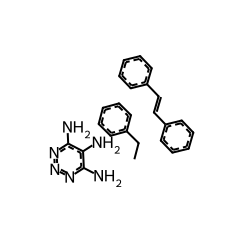 C(=Cc1ccccc1)c1ccccc1.CCc1ccccc1.Nc1nnnc(N)c1N